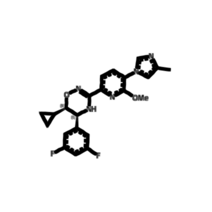 COc1nc(C2=NO[C@H](C3CC3)[C@H](c3cc(F)cc(F)c3)N2)ccc1-n1cnc(C)c1